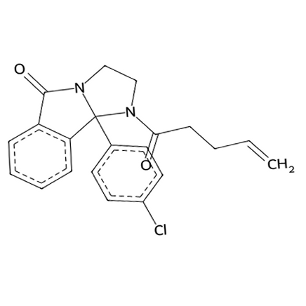 C=CCCC(=O)N1CCN2C(=O)c3ccccc3C12c1ccc(Cl)cc1